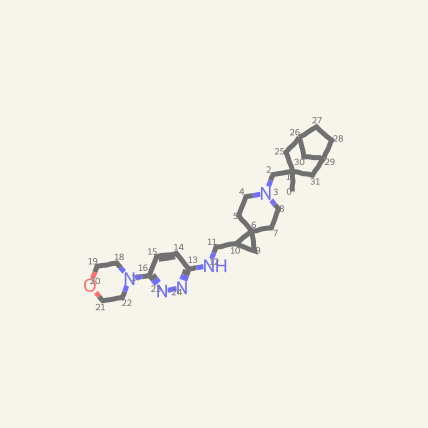 CC1(CN2CCC3(CC2)CC3CNc2ccc(N3CCOCC3)nn2)CC2CCC(C2)C1